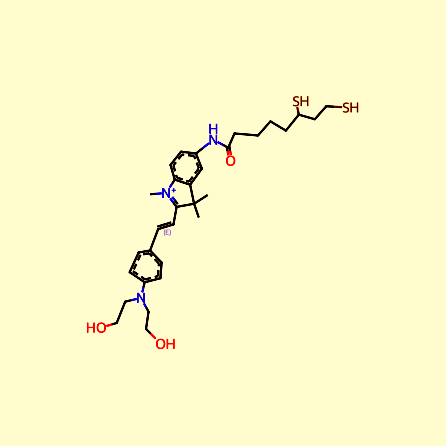 C[N+]1=C(/C=C/c2ccc(N(CCO)CCO)cc2)C(C)(C)c2cc(NC(=O)CCCCC(S)CCS)ccc21